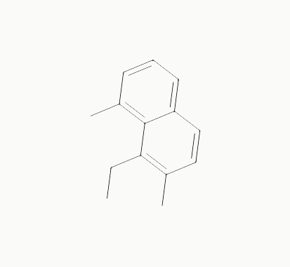 [CH2]Cc1c(C)ccc2cccc(C)c12